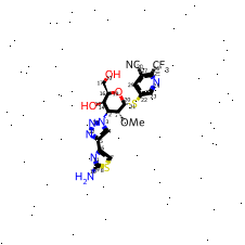 CO[C@@H]1[C@@H](n2cc(-c3csc(N)n3)nn2)[C@@H](O)[C@@H](CO)O[C@@H]1Sc1cnc(C(F)(F)F)c(C#N)c1